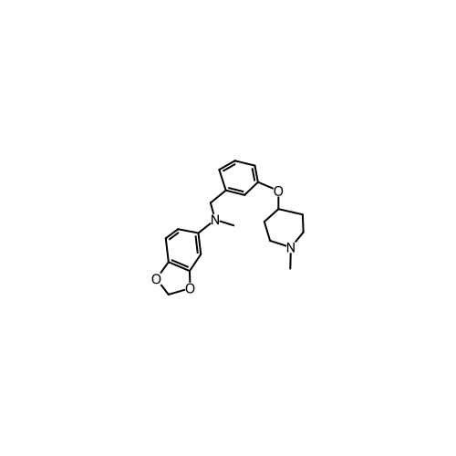 CN1CCC(Oc2cccc(CN(C)c3ccc4c(c3)OCO4)c2)CC1